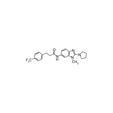 Cn1c(N2CCCC2)nc2ccc(NC(=O)CCc3ccc(C(F)(F)F)cc3)cc21